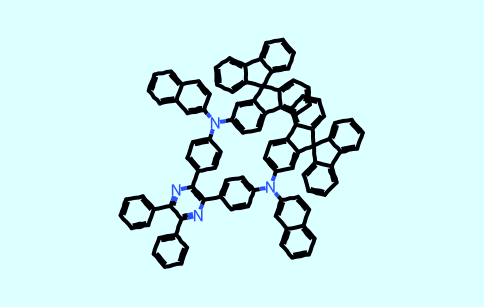 c1ccc(-c2nc(-c3ccc(N(c4ccc5c(c4)C4(c6ccccc6-c6ccccc64)c4ccccc4-5)c4ccc5ccccc5c4)cc3)c(-c3ccc(N(c4ccc5c(c4)C4(c6ccccc6-c6ccccc64)c4ccccc4-5)c4ccc5ccccc5c4)cc3)nc2-c2ccccc2)cc1